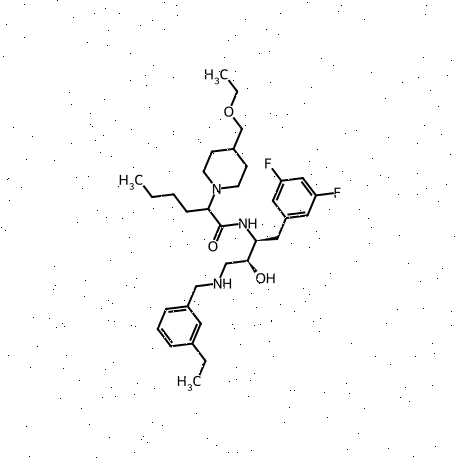 CCCCC(C(=O)N[C@@H](Cc1cc(F)cc(F)c1)[C@@H](O)CNCc1cccc(CC)c1)N1CCC(COCC)CC1